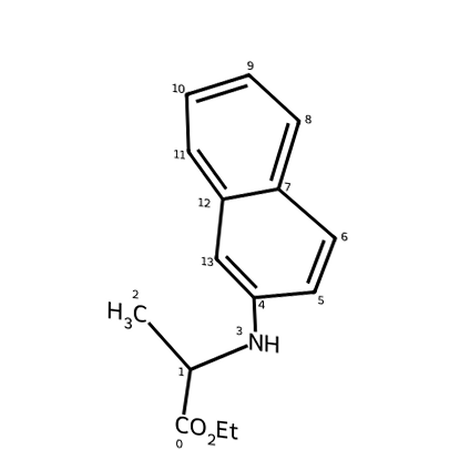 CCOC(=O)C(C)Nc1ccc2ccccc2c1